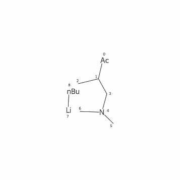 CC(=O)C(C)CN(C)C.[Li][CH2]CCC